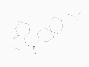 CC(C)C[C@@H]1NCCN([C@@H](CC(C)C)C(=O)N2CCC3(CC2)OCC(CN(C)C)CO3)C1=O